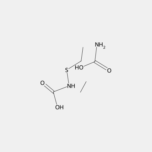 CC.CCSNC(=O)O.NC(=O)O